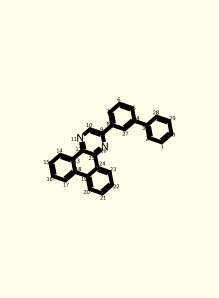 c1ccc(-c2cccc(-c3cnc4c5ccccc5c5ccccc5c4n3)c2)cc1